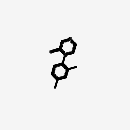 Cc1ccc(-n2ccncc2=O)c(C)c1